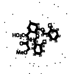 COCC(=O)NC(C(=O)O)c1cccc(OCc2ccccc2Cl)c1OCc1ccccc1Cl